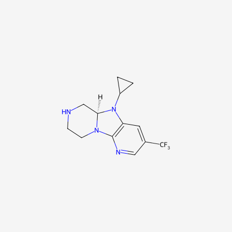 FC(F)(F)c1cnc2c(c1)N(C1CC1)[C@@H]1CNCCN21